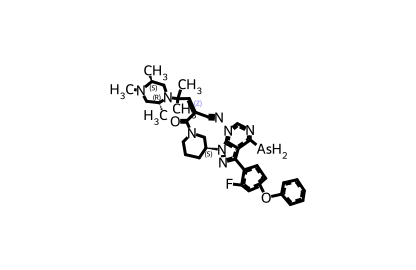 C[C@@H]1CN(C)[C@@H](C)CN1C(C)(C)/C=C(/C#N)C(=O)N1CCC[C@H](n2nc(-c3ccc(Oc4ccccc4)cc3F)c3c([AsH2])ncnc32)C1